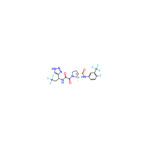 C[C@H]1[C@@H](C(=O)Nc2ccc(F)c(C(F)(F)F)c2)CCN1C(=O)C(=O)NC(CC(F)(F)F)c1c[nH]nn1